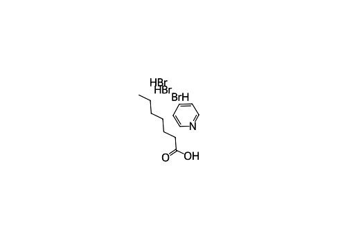 Br.Br.Br.CCCCCCC(=O)O.c1ccncc1